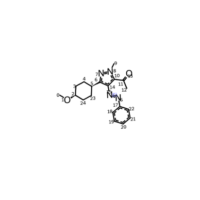 CO[C@H]1CC[C@@H](c2nn(C)c(C(C)=O)c2/N=N/c2ccccc2)CC1